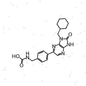 O=C(O)NCc1ccc(-c2cnc3[nH]c(=O)n(CC4CCCCC4)c3n2)cc1